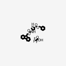 O=C(N[C@@H]1CN[C@H](C(=O)OCc2ccccc2)C1)OCC1c2ccccc2-c2ccccc21.O=C(O)C(F)(F)F